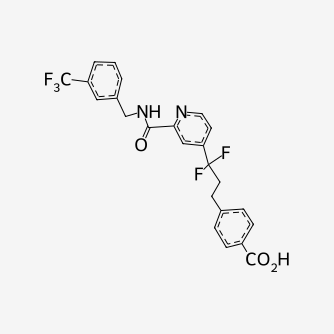 O=C(O)c1ccc(CCC(F)(F)c2ccnc(C(=O)NCc3cccc(C(F)(F)F)c3)c2)cc1